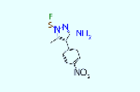 Cc1c(-c2ccc([N+](=O)[O-])cc2)c(N)nn1SF